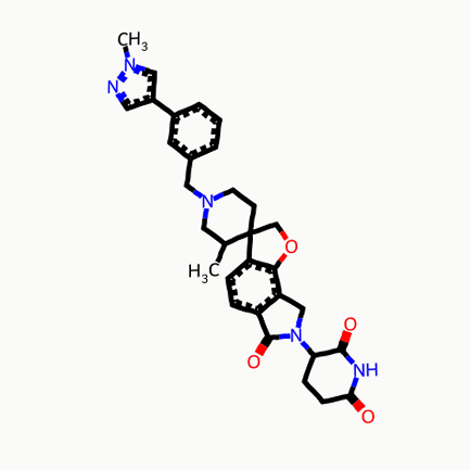 CC1CN(Cc2cccc(-c3cnn(C)c3)c2)CCC12COc1c2ccc2c1CN(C1CCC(=O)NC1=O)C2=O